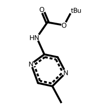 Cc1cnc(NC(=O)OC(C)(C)C)cn1